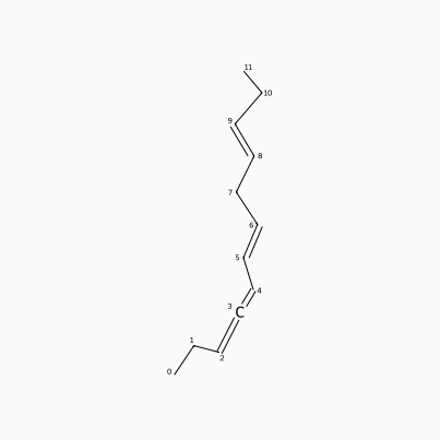 CCC=C=CC=CCC=CCC